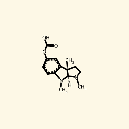 CN1CC[C@@]2(C)c3cc(OC(=O)O)ccc3N(C)[C@H]12